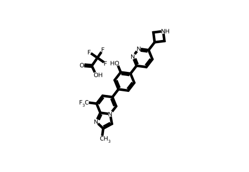 Cc1cn2cc(-c3ccc(-c4ccc(C5CNC5)nn4)c(O)c3)cc(C(F)(F)F)c2n1.O=C(O)C(F)(F)F